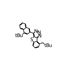 CC(C)(C)Cc1cccc2sc3c(-c4cc(C(C)(C)C)c5ccccc5c4)nnnc3c12